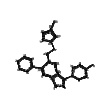 Cc1ccc(-c2nnc3cc(-c4ccccc4)c(OCc4ncn(C)n4)nn23)cc1